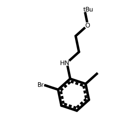 Cc1cccc(Br)c1NCCOC(C)(C)C